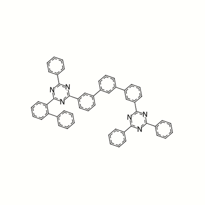 c1ccc(-c2nc(-c3ccccc3)nc(-c3cccc(-c4cccc(-c5cccc(-c6nc(-c7ccccc7)nc(-c7ccccc7-c7ccccc7)n6)c5)c4)c3)n2)cc1